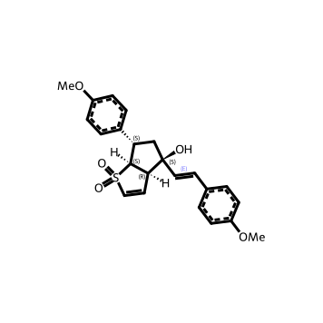 COc1ccc(/C=C/[C@@]2(O)C[C@@H](c3ccc(OC)cc3)[C@H]3[C@@H]2C=CS3(=O)=O)cc1